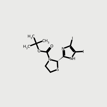 CC(C)(C)OC(=O)N1CCS[C@H]1c1nc(I)c(I)[nH]1